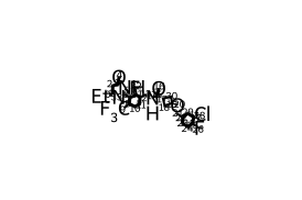 CCc1cc(=O)[nH]c(-c2c(C(F)(F)F)ccc(CNC(=O)[C@H]3C[C@H](OCc4ccc(F)c(Cl)c4)C3)c2F)n1